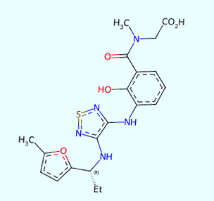 CC[C@@H](Nc1nsnc1Nc1cccc(C(=O)N(C)CC(=O)O)c1O)c1ccc(C)o1